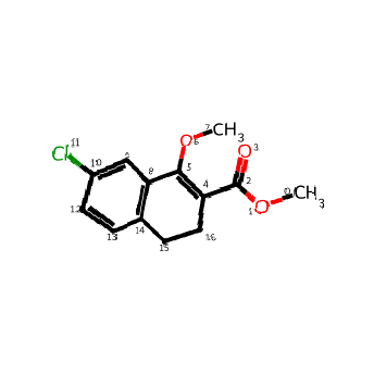 COC(=O)C1=C(OC)c2cc(Cl)ccc2CC1